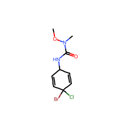 CON(C)C(=O)NC1C=CC(Cl)(Br)C=C1